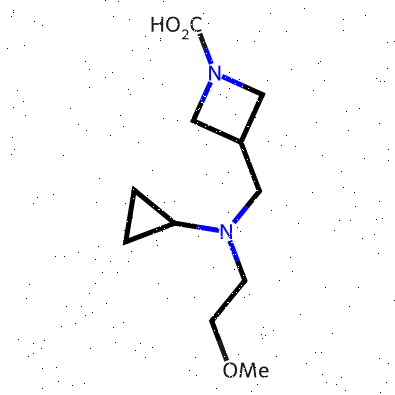 COCCN(CC1CN(C(=O)O)C1)C1CC1